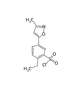 CCc1ccc(-c2cc(C)no2)cc1S(=O)(=O)Cl